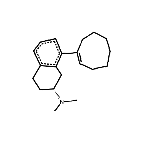 CN(C)[C@@H]1CCc2cccc(/C3=C/CCCCCC3)c2C1